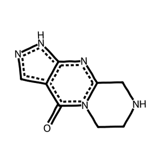 O=c1c2cn[nH]c2nc2n1CCNC2